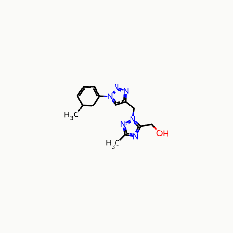 Cc1nc(CO)n(Cc2cn(C3=CC=CC(C)C3)nn2)n1